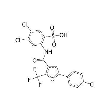 O=C(Nc1cc(Cl)c(Cl)cc1S(=O)(=O)O)c1cc(-c2ccc(Cl)cc2)oc1C(F)(F)F